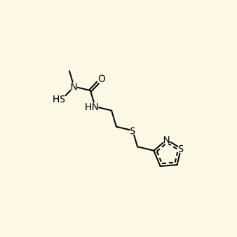 CN(S)C(=O)NCCSCc1ccsn1